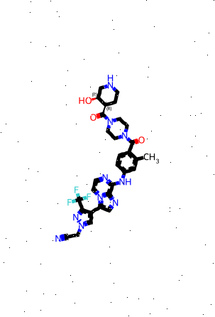 Cc1cc(Nc2nccn3c(-c4cn(CC#N)nc4C(F)(F)F)cnc23)ccc1C(=O)N1CCN(C(=O)[C@@H]2CCNC[C@@H]2O)CC1